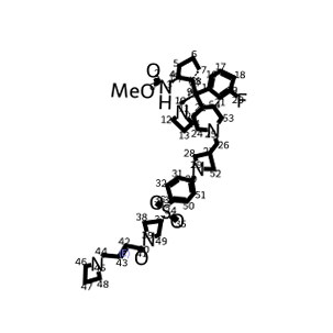 COC(=O)N[C@H]1CCC[C@@H]1[C@](CN1CCC1)(c1cccc(F)c1)C1CCN(CC2CN(c3ccc(S(=O)(=O)C4CN(C(=O)/C=C/CN5CCC5)C4)cc3)C2)CC1